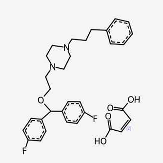 Fc1ccc(C(OCCN2CCN(CCCc3ccccc3)CC2)c2ccc(F)cc2)cc1.O=C(O)/C=C\C(=O)O